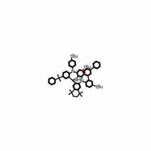 CC(C)(C)c1ccc(N2c3ccc(C(C)(C)c4ccccc4)cc3C3Bc4c2cc(C(C)(C)C)cc4N(c2ccc(C(C)(C)C)cc2-c2cccc(-c4ccccc4)c2)c2cc4c(cc23)C(C)(C)CCC4(C)C)cc1